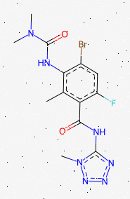 Cc1c(NC(=O)N(C)C)c(Br)cc(F)c1C(=O)Nc1nnnn1C